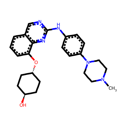 CN1CCN(c2ccc(Nc3ncc4cccc(O[C@H]5CC[C@H](O)CC5)c4n3)cc2)CC1